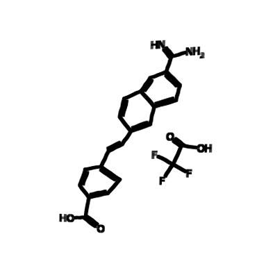 N=C(N)c1ccc2cc(/C=C/c3ccc(C(=O)O)cc3)ccc2c1.O=C(O)C(F)(F)F